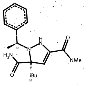 CC[C@@H](C)C1(C(N)=O)C=C(C(=O)NC)NN1[C@@H](C)c1ccccc1